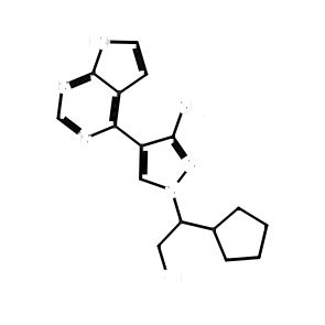 CCC(C1CCCC1)n1cc(-c2ncnc3[nH]ccc23)c(N)n1